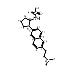 CN(C)CCc1ccc2cc(C3CCCC3NS(C)(=O)=O)ccc2c1